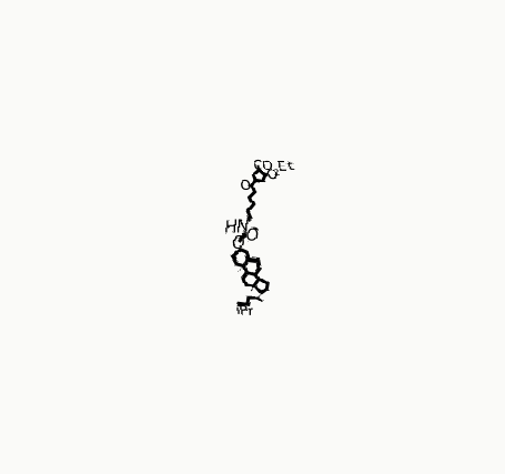 CCOC(=O)C1CC(C(=O)CCCCCNC(=O)O[C@H]2CC[C@@]3(C)C(=CCC4C3CC[C@@]3(C)C4CC[C@@H]3C(C)CCCC(C)C)C2)CC1=O